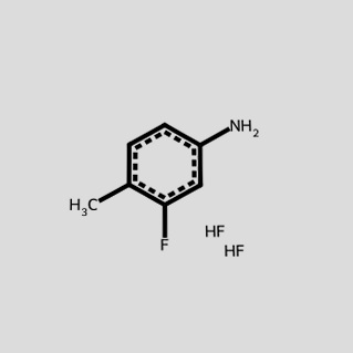 Cc1ccc(N)cc1F.F.F